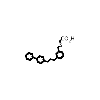 O=C(O)CSCc1cccc(CCCc2ccc(-c3ccccc3)cc2)c1